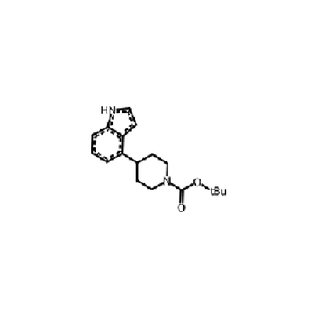 CC(C)(C)OC(=O)N1CCC(c2cccc3[nH]ccc23)CC1